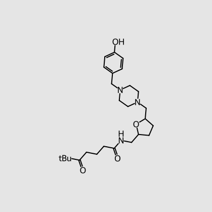 CC(C)(C)C(=O)CCCC(=O)NCC1CCC(CN2CCN(Cc3ccc(O)cc3)CC2)O1